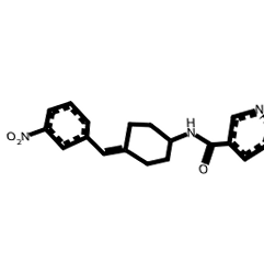 O=C(NC1CCC(=Cc2cccc([N+](=O)[O-])c2)CC1)c1cccnc1